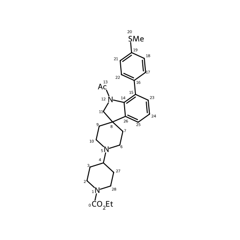 CCOC(=O)N1CCC(N2CCC3(CC2)CN(C(C)=O)c2c(-c4ccc(SC)cc4)cccc23)CC1